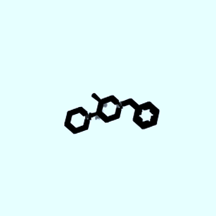 C[C@H]1CN(Cc2ccccc2)CC[C@H]1N1CCCCC1